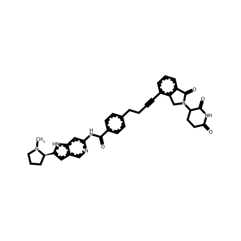 CN1CCC[C@@H]1c1cc2cnc(NC(=O)c3ccc(CCC#Cc4cccc5c4CN(C4CCC(=O)NC4=O)C5=O)cc3)cc2[nH]1